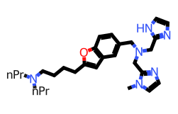 CCCN(CCC)CCCCc1cc2cc(CN(Cc3ncc[nH]3)Cc3nccn3C)ccc2o1